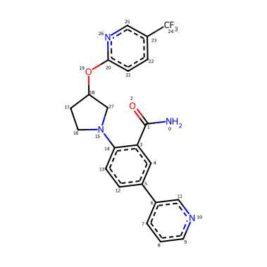 NC(=O)c1cc(-c2cccnc2)ccc1N1CCC(Oc2ccc(C(F)(F)F)cn2)C1